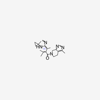 C=N/C(NC1(C)CC1)=C(\C)C(C(=O)N1CCc2c(C)ncnc2C1)=C(C)C